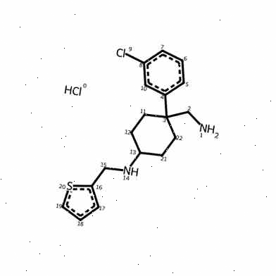 Cl.NCC1(c2cccc(Cl)c2)CCC(NCc2cccs2)CC1